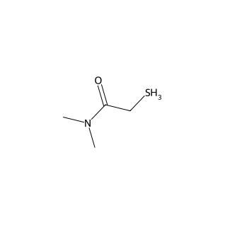 CN(C)C(=O)C[SH3]